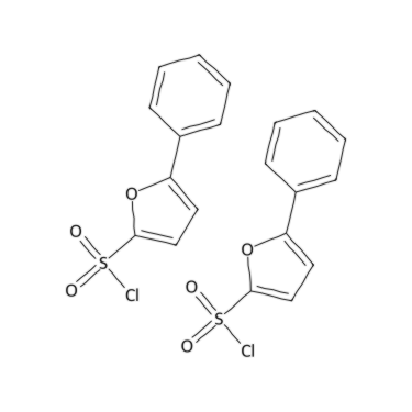 O=S(=O)(Cl)c1ccc(-c2ccccc2)o1.O=S(=O)(Cl)c1ccc(-c2ccccc2)o1